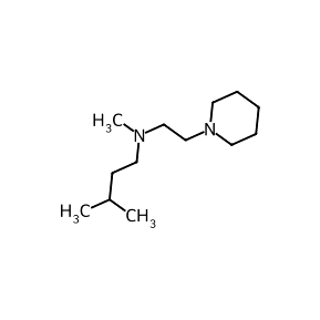 CC(C)CCN(C)CCN1CCCCC1